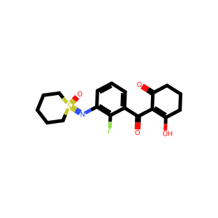 O=C1CCCC(O)=C1C(=O)c1cccc(N=S2(=O)CCCCC2)c1F